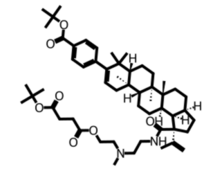 C=C(C)[C@@]1(C(=O)NCCN(C)CCOC(=O)CCC(=O)OC(C)(C)C)CC[C@@H]2CC[C@]3(C)[C@H](CC[C@@H]4[C@@]5(C)CC=C(c6ccc(C(=O)OC(C)(C)C)cc6)C(C)(C)[C@@H]5CC[C@]43C)[C@@H]21